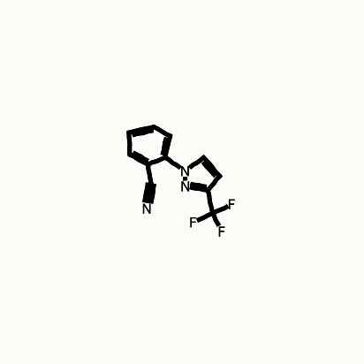 N#Cc1ccccc1-n1ccc(C(F)(F)F)n1